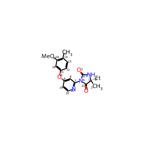 CC[C@@]1(C)NC(=O)N(c2cc(Oc3ccc(C)c(OC)c3)ccn2)C1=O